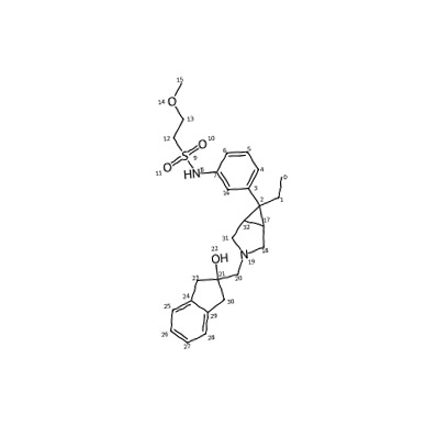 CCC1(c2cccc(NS(=O)(=O)CCOC)c2)C2CN(CC3(O)Cc4ccccc4C3)CC21